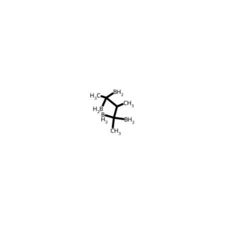 BC(B)(C)C(C)C(B)(B)C